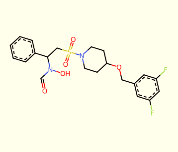 O=CN(O)C(CS(=O)(=O)N1CCC(OCc2cc(F)cc(F)c2)CC1)c1ccccc1